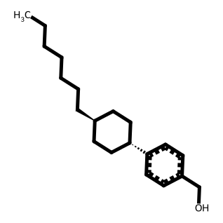 CCCCCCC[C@H]1CC[C@H](c2ccc(CO)cc2)CC1